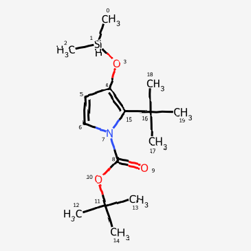 C[SiH](C)Oc1ccn(C(=O)OC(C)(C)C)c1C(C)(C)C